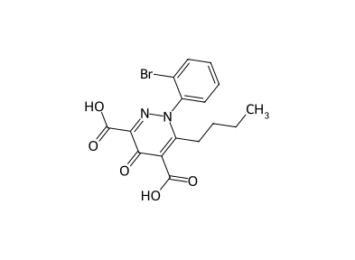 CCCCc1c(C(=O)O)c(=O)c(C(=O)O)nn1-c1ccccc1Br